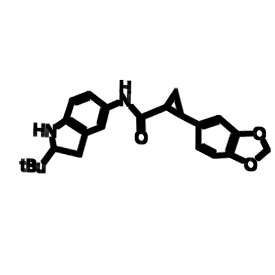 CC(C)(C)C1Cc2cc(NC(=O)C3CC3c3ccc4c(c3)OCO4)ccc2N1